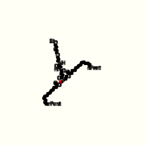 CCCCC/C=C\C/C=C\CCCCCCCC(=O)OCCN(CCOC(=O)CCCCCCC/C=C\C/C=C\CCCCC)C(=O)CCC(=O)NCC(=O)NCCCOCCOCCOCC